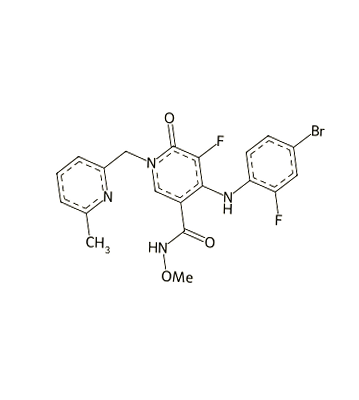 CONC(=O)c1cn(Cc2cccc(C)n2)c(=O)c(F)c1Nc1ccc(Br)cc1F